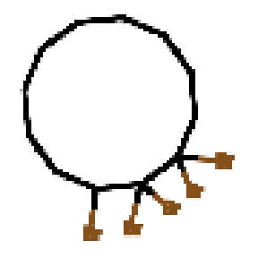 BrC1CCCCCCCCCC(Br)(Br)C1(Br)Br